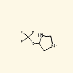 FC(F)(F)OC1C[N]CN1